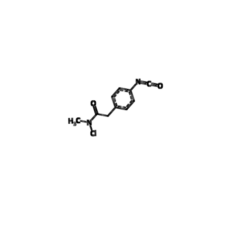 CN(Cl)C(=O)Cc1ccc(N=C=O)cc1